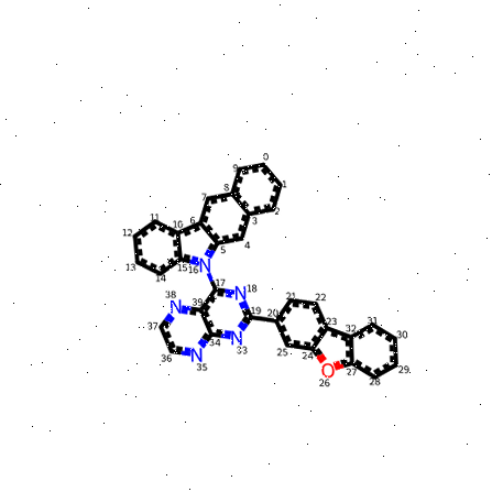 c1ccc2cc3c(cc2c1)c1ccccc1n3-c1nc(-c2ccc3c(c2)oc2ccccc23)nc2nccnc12